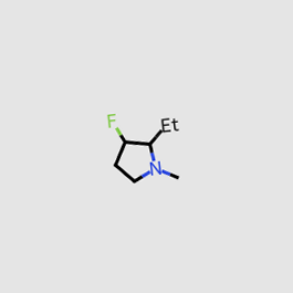 CCC1C(F)CCN1C